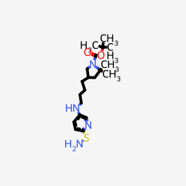 CC(C)(C)OC(=O)N1CC(CCCCNc2ccc(SN)nc2)CC1(C)C